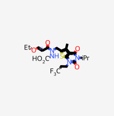 CCO/C=C/C(=O)N(Cc1sc2c(c1C)c(=O)n(C(C)C)c(=O)n2CCC(F)(F)F)NC(=O)O